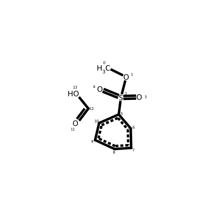 COS(=O)(=O)c1ccccc1.O=CO